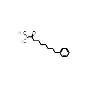 CN(C)C(=O)CCCCCCCc1ccccc1